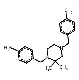 Cc1ccc(CN2CCN(Cc3ccc(N)nc3)C(C)(C)C2)cc1